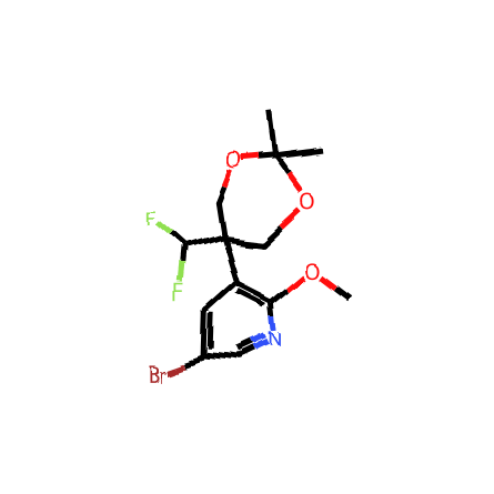 COc1ncc(Br)cc1C1(C(F)F)COC(C)(C)OC1